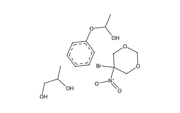 CC(O)CO.CC(O)Oc1ccccc1.O=[N+]([O-])C1(Br)COCOC1